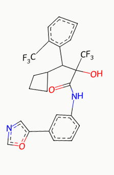 O=C(Nc1cccc(-c2cnco2)c1)C(O)(C(c1ccccc1C(F)(F)F)C1CCC1)C(F)(F)F